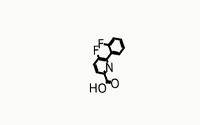 O=C(O)c1ccc(F)c(-c2ccccc2F)n1